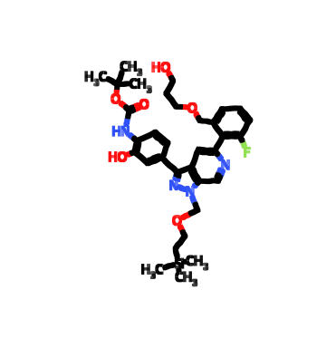 CC(C)(C)OC(=O)Nc1ccc(-c2nn(COCC[Si](C)(C)C)c3cnc(-c4c(F)cccc4COCCCO)cc23)cc1O